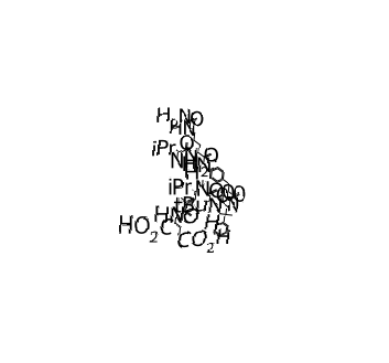 C/C(=C\[C@H](C(C)C)N(C)C(=O)[C@@H](NC(=O)[C@@H](N(C)C(=O)OCc1ccc(NC(=O)[C@H](CCCNC(N)=O)NC(=O)[C@@H](N)C(C)C)cc1)C(C)(C)c1ccccc1)C(C)(C)C)C(=O)N[C@H](CCC(=O)O)C(=O)O